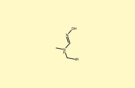 CC(C)C[SiH](C)C=NO